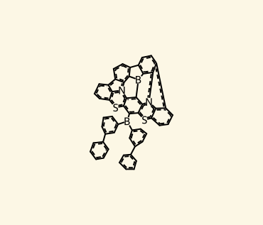 c1ccc(-c2cccc(B(c3cccc(-c4ccccc4)c3)c3c4sc5cccc6c7ccc8c9c7n(c4c4c7c3sc3cccc%10c%11ccc-8c(c%11n7c3%10)B49)c56)c2)cc1